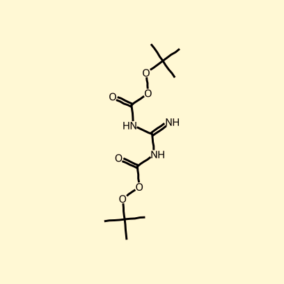 CC(C)(C)OOC(=O)NC(=N)NC(=O)OOC(C)(C)C